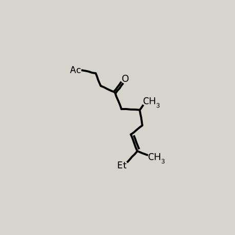 CCC(C)=CCC(C)CC(=O)CCC(C)=O